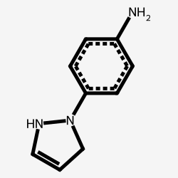 Nc1ccc(N2CC=CN2)cc1